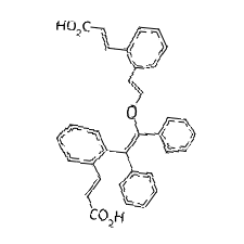 O=C(O)C=Cc1ccccc1C=COC(=C(c1ccccc1)c1ccccc1C=CC(=O)O)c1ccccc1